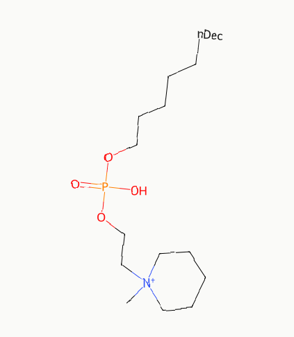 CCCCCCCCCCCCCCCOP(=O)(O)OCC[N+]1(C)CCCCC1